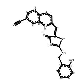 N#Cc1cnc2ccc(C=C3SC(NCc4ccccc4Cl)=NC3=O)nc2c1